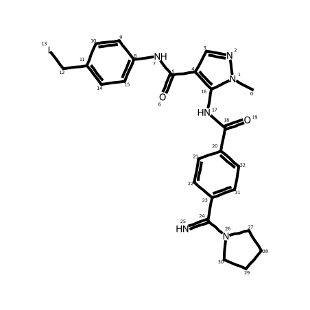 Cn1ncc(C(=O)Nc2ccc(CI)cc2)c1NC(=O)c1ccc(C(=N)N2CCCC2)cc1